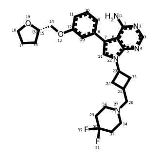 Nc1ncnc2c1c(-c1cccc(OC[C@@H]3CCCO3)c1)cn2C1CC(CN2CCC(F)(F)CC2)C1